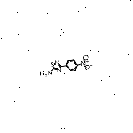 Nc1nc(-c2ccc([N+](=O)[O-])cc2)ns1